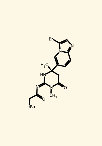 CN1C(=O)C[C@@](C)(c2ccc3ncc(Br)n3c2)N/C1=N/C(=O)CC(C)(C)C